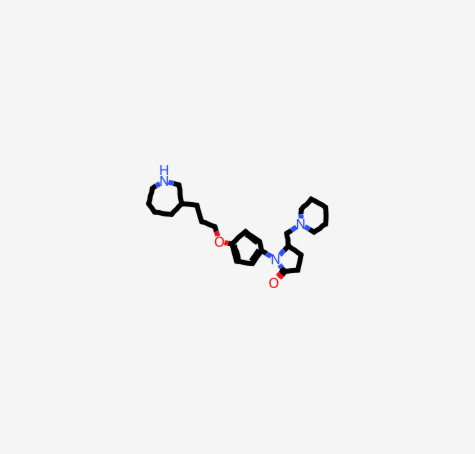 O=C1CCC(CN2CCCCC2)N1c1ccc(OCCCC2CCCCNC2)cc1